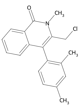 Cc1ccc(-c2c(CCl)n(C)c(=O)c3ccccc23)c(C)c1